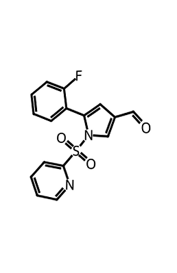 O=Cc1cc(-c2ccccc2F)n(S(=O)(=O)c2ccccn2)c1